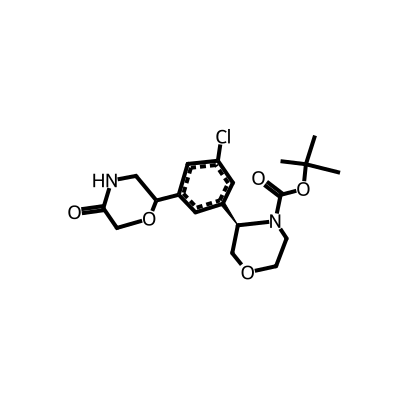 CC(C)(C)OC(=O)N1CCOC[C@H]1c1cc(Cl)cc(C2CNC(=O)CO2)c1